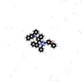 c1ccc(-c2nc(-c3ccc4oc5ccccc5c4c3)nc(-c3c(-c4cccc5ccccc45)cc(-n4c5ccccc5c5cc6ccccc6cc54)c4ccccc34)n2)cc1